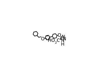 O=C(O)c1[nH]nnc1OC1CCC(c2ccc(OCCC3CCCCC3)cc2)CC1